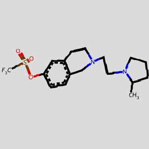 CC1CCCN1CCN1CCc2cc(OS(=O)(=O)C(F)(F)F)ccc2C1